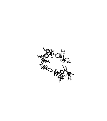 Cc1cc(Nc2ccc(-c3cnc([C@H]4CC[C@H](NC(=O)OC(C)CCc5cc(Nc6ccc(-c7cnc([C@H]8CC[C@H](NC(=O)OC(C)C)CC8)s7)c([S+]([O-])C7CC7)c6)n[nH]5)CC4)s3)c(S(=O)(=O)C(F)(F)F)c2)n[nH]1